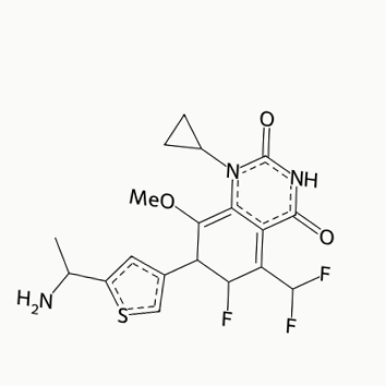 COC1=c2c(c(=O)[nH]c(=O)n2C2CC2)=C(C(F)F)C(F)C1c1csc(C(C)N)c1